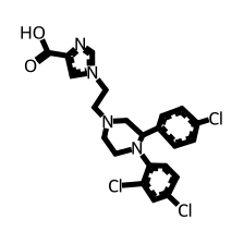 O=C(O)c1cn(CCN2CCN(c3ccc(Cl)cc3Cl)C(c3ccc(Cl)cc3)C2)cn1